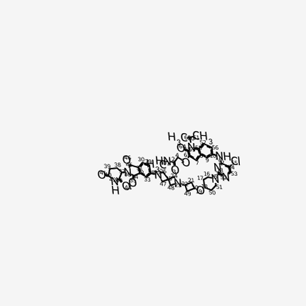 CNC(=O)COc1cc2cc(Nc3nc(N4CCC(O[C@H]5C[C@H](N6CC7(CN(c8ccc9c(c8)C(=O)N(C8CCC(=O)NC8=O)C9=O)C7)C6)C5)CC4)ncc3Cl)ccc2n(C(C)C)c1=O